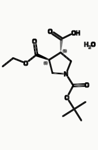 CCOC(=O)[C@@H]1CN(C(=O)OC(C)(C)C)C[C@H]1C(=O)O.O